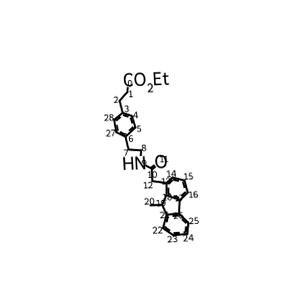 CCOC(=O)CCc1ccc(CCNC(=O)Cc2cccc3c2C(C)c2ccccc2-3)cc1